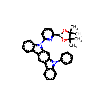 CC1(C)OB(c2cccc(-n3c4ccccc4c4cc5c6ccccc6n(-c6ccccc6)c5cc43)n2)OC1(C)C